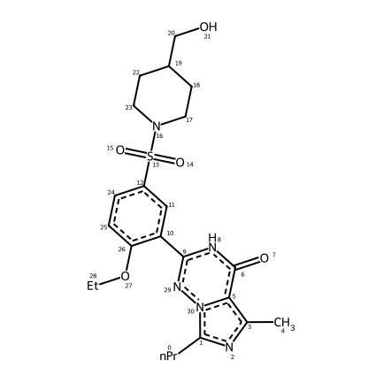 CCCc1nc(C)c2c(=O)[nH]c(-c3cc(S(=O)(=O)N4CCC(CO)CC4)ccc3OCC)nn12